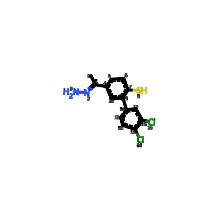 CC(=NN)c1ccc(S)c(-c2ccc(Cl)c(Cl)c2)c1